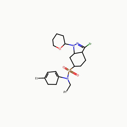 CCC1=CC=C(N(CC(C)C)S(=O)(=O)C2CCC3C(Br)=NN(C4CCCCO4)C3C2)CC1